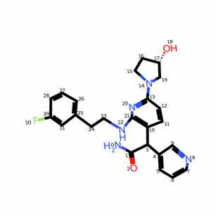 NC(=O)C(c1cccnc1)c1ccc(N2CC[C@H](O)C2)nc1NCCc1cccc(F)c1